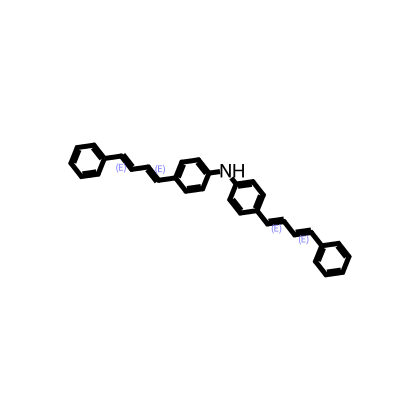 C(/C=C/c1ccc(Nc2ccc(/C=C/C=C/c3ccccc3)cc2)cc1)=C\c1ccccc1